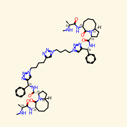 CN[C@@H](C)C(=O)N[C@H]1CCCC[C@H]2CC[C@@H](C(=O)N[C@H](c3ccccc3)c3cn(CCCCn4cc(CCCCn5cc([C@@H](NC(=O)[C@@H]6CC[C@@H]7CCCC[C@H](NC(=O)[C@H](C)NC)C(=O)N76)c6ccccc6)nn5)nn4)nn3)N2C1=O